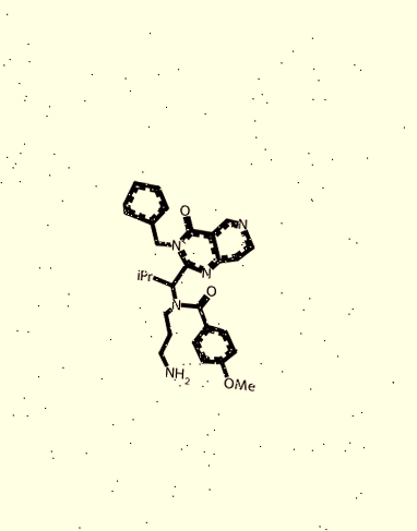 COc1ccc(C(=O)N(CCCN)C(c2nc3ccncc3c(=O)n2Cc2ccccc2)C(C)C)cc1